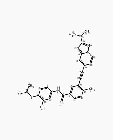 CCN(C)Cc1ccc(NC(=O)c2ccc(C)c(C#Cc3ccn4nc(N(C)C)nc4c3)c2)cc1C(F)(F)F